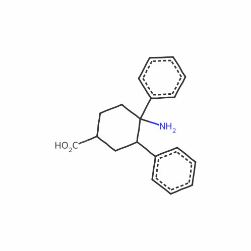 NC1(c2ccccc2)CCC(C(=O)O)CC1c1ccccc1